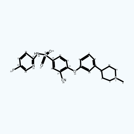 CN1CCC(c2cccc(Oc3ccc(S(=O)(=O)Nc4ccc(F)cn4)cc3C#N)c2)CC1